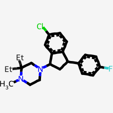 CCC1(CC)CN(C2CC(c3ccc(F)cc3)c3ccc(Cl)cc32)CCN1C